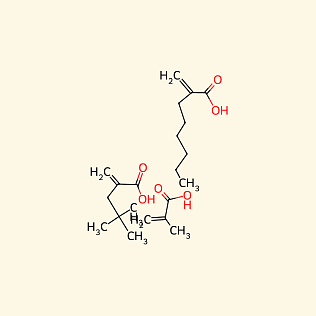 C=C(C)C(=O)O.C=C(CC(C)(C)C)C(=O)O.C=C(CCCCCC)C(=O)O